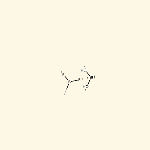 FB(F)F.OBO